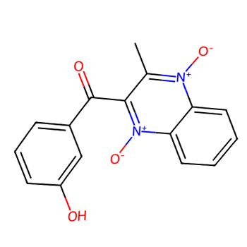 Cc1c(C(=O)c2cccc(O)c2)[n+]([O-])c2ccccc2[n+]1[O-]